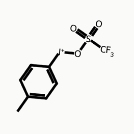 Cc1ccc([I+]OS(=O)(=O)C(F)(F)F)cc1